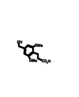 COc1cc(CO)cc(OC)c1CCC(=O)O